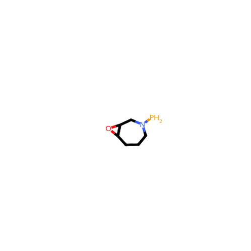 PN1CCCC2OC2C1